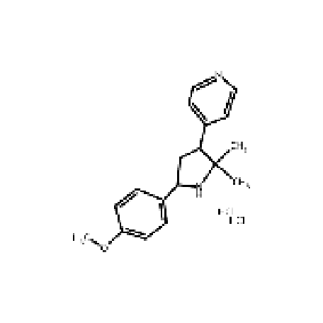 COc1ccc(C2CC(c3ccncc3)C(C)(C)N2)cc1.Cl.Cl